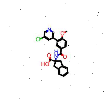 COc1ccc(C(=O)NC2(C(=O)O)Cc3ccccc3C2)cc1-c1cncc(Cl)c1